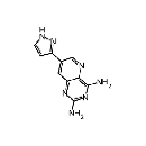 Nc1nc(N)c2ncc(-c3cc[nH]n3)cc2n1